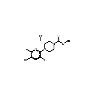 Cc1nc(N2CCN(C(=O)OC(C)(C)C)C[C@H]2CO)c(F)cc1Br